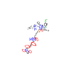 CC(C)(C)[C@H](c1nc(-c2cc(F)ccc2F)cn1Cc1ccccc1)N(CCCNC(=O)O)C(=O)CSCCCCCC(=O)NCCOCCOCCN1C(=O)C=CC1=O